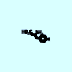 N[C@@H](CC(=O)O)Cc1ccc(I)cc1